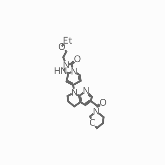 CCOCCN1NC2C=C(N3CCCc4cc(C(=O)N5CCCCC5)cnc43)C=CN2C1=O